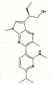 CC[C@@H](CO)c1cn(C)c2nc(-c3ccc(C(C)C)nc3NC)c(C)nc12